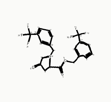 O=C1CC(C(=O)OCc2cccc(C(F)(F)F)c2)N(Cc2cccc(C(F)(F)F)c2)C1